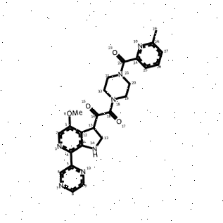 COc1cnc(-c2cnccn2)c2c1C(C(=O)C(=O)N1CCN(C(=O)c3cccc(C)n3)CC1)CN2